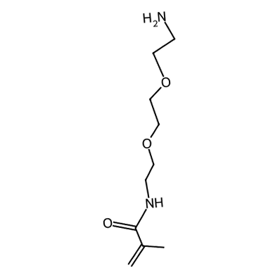 C=C(C)C(=O)NCCOCCOCCN